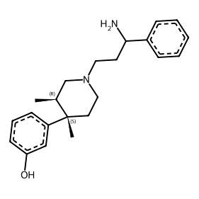 C[C@H]1CN(CCC(N)c2ccccc2)CC[C@]1(C)c1cccc(O)c1